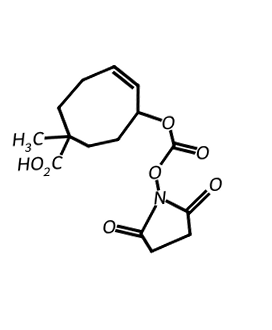 CC1(C(=O)O)CCC=CC(OC(=O)ON2C(=O)CCC2=O)CC1